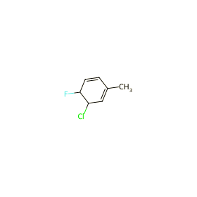 CC1=CC(Cl)C(F)C=C1